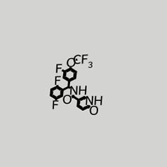 O=C(NC(c1ccc(OC(F)(F)F)c(F)c1)c1cc(F)ccc1F)c1ccc(=O)[nH]c1